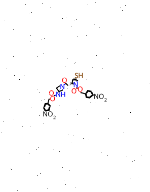 O=C(N[C@H]1CCN(C(=O)C[C@@H]2C[C@H](S)CN2C(=O)OCc2ccc([N+](=O)[O-])cc2)C1)OCc1ccc([N+](=O)[O-])cc1